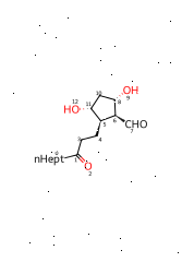 CCCCCCCC(=O)CC[C@@H]1[C@H](C=O)[C@@H](O)C[C@H]1O